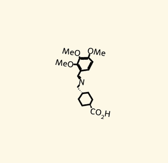 COc1ccc(C=NC[C@H]2CC[C@H](C(=O)O)CC2)c(OC)c1OC